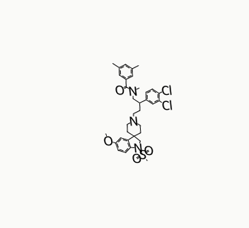 COc1ccc2c(c1)C1(CCN(CCC(CN(C)C(=O)c3cc(C)cc(C)c3)c3ccc(Cl)c(Cl)c3)CC1)CN2S(C)(=O)=O